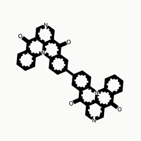 O=c1c2ccccc2n2c3ccc(-c4ccc5c(c4)c(=O)c4cncc6c(=O)c7ccccc7n5c64)cc3c(=O)c3cncc1c32